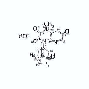 Cl.Cn1c(=O)c(=O)n(C2C[C@H]3CC[C@@H](C2)N3)c2ncc(Cl)cc21